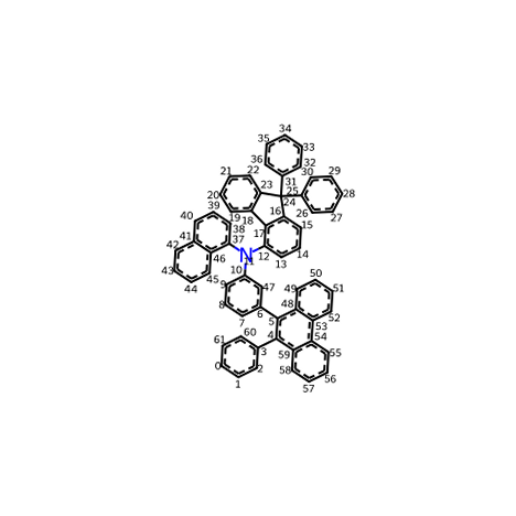 c1ccc(-c2c(-c3cccc(N(c4cccc5c4-c4ccccc4C5(c4ccccc4)c4ccccc4)c4cccc5ccccc45)c3)c3ccccc3c3ccccc23)cc1